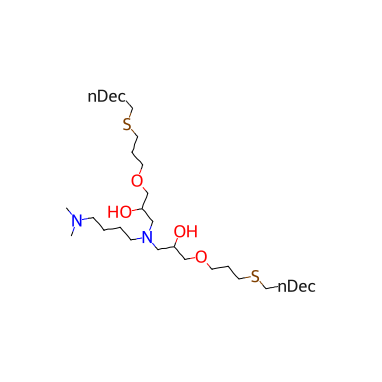 CCCCCCCCCCCSCCCOCC(O)CN(CCCCN(C)C)CC(O)COCCCSCCCCCCCCCCC